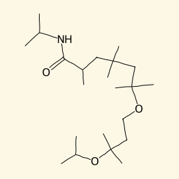 CC(C)NC(=O)C(C)CC(C)(C)CC(C)(C)OCCC(C)(C)OC(C)C